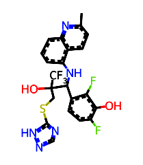 Cc1ccc2c(NC(c3ccc(F)c(O)c3F)C(O)(CSc3ncn[nH]3)C(F)(F)F)cccc2n1